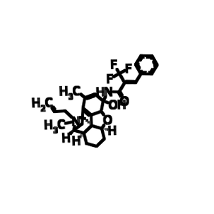 C=CC[N+]1(C)CC[C@@]23C4=C5C[C@@H]1[C@@H]2CCC[C@@H]3OC4C(O)(NC(=O)C(=Cc1ccccc1)C(F)(F)F)C=C5C